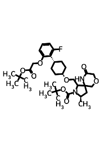 C[C@@H]1CC2(COCC(=O)N2)C(CO[C@H]2CC[C@@H](c3c(F)cccc3OCC(=O)OC(C)(C)C)CC2)N1C(=O)OC(C)(C)C